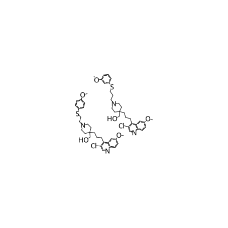 COc1ccc(SCCN2CCC(CO)(CCCc3c(Cl)cnc4ccc(OC)cc34)CC2)cc1.COc1cccc(SCCCN2CCC(CO)(CCCc3c(Cl)cnc4ccc(OC)cc34)CC2)c1